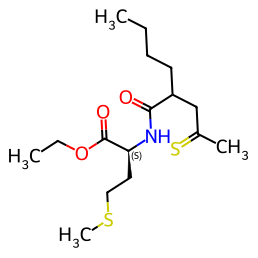 CCCCC(CC(C)=S)C(=O)N[C@@H](CCSC)C(=O)OCC